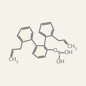 C=CCc1ccccc1-c1cccc(OP(O)O)c1-c1ccccc1CC=C